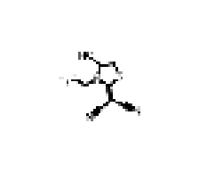 CCN1C(=C(C#N)C#N)SCC1O